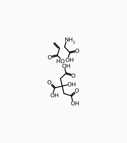 C=CC(=O)O.NCC(=O)O.O=C(O)CC(O)(CC(=O)O)C(=O)O